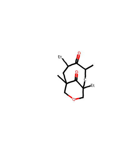 CCC1CC2(C)COCC(CC)(CC(C)C1=O)C2=O